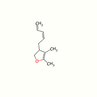 C=C/C=C\CC1COC(C)=C1C